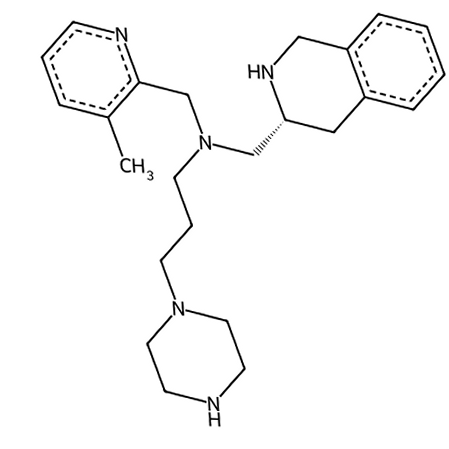 Cc1cccnc1CN(CCCN1CCNCC1)C[C@H]1Cc2ccccc2CN1